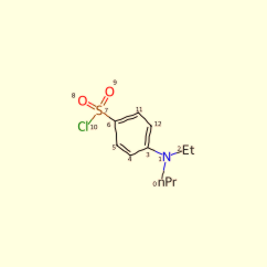 CCCN(CC)c1ccc(S(=O)(=O)Cl)cc1